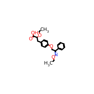 CCO/N=C(\COc1ccc(CC(OCC)C(=O)O)cc1)c1ccccc1